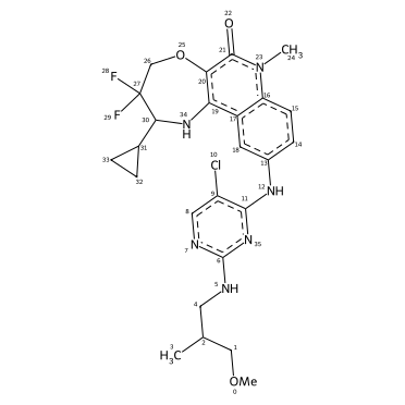 COCC(C)CNc1ncc(Cl)c(Nc2ccc3c(c2)c2c(c(=O)n3C)OCC(F)(F)C(C3CC3)N2)n1